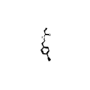 C#Cc1ccc(CCOC(=O)C=C)cc1